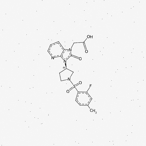 Cc1ccc(S(=O)(=O)N2CC[C@@H](n3c(=O)n(CC(=O)O)c4cccnc43)C2)c(F)c1